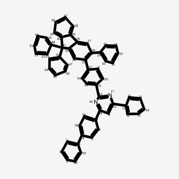 c1ccc(-c2ccc(-c3cc(-c4ccccc4)nc(-c4ccc(-c5cc6c(cc5-c5ccccc5)-c5ccccc5C6(c5ccccc5)c5ccccc5)cc4)n3)cc2)cc1